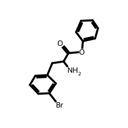 NC(Cc1cccc(Br)c1)C(=O)Oc1ccccc1